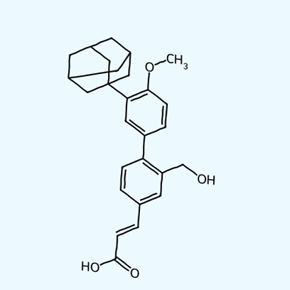 COc1ccc(-c2ccc(C=CC(=O)O)cc2CO)cc1C12CC3CC(CC(C3)C1)C2